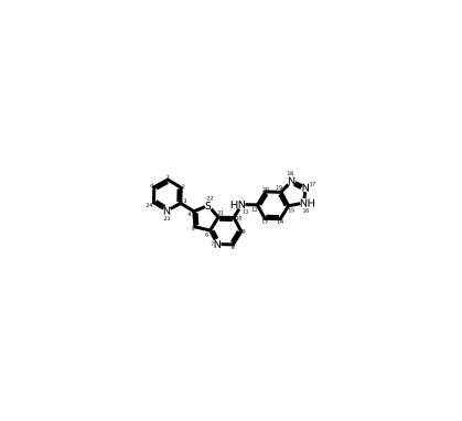 c1ccc(-c2cc3nccc(Nc4ccc5[nH]nnc5c4)c3s2)nc1